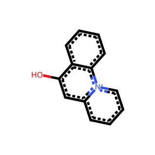 Oc1cc2cccc[n+]2c2ccccc12